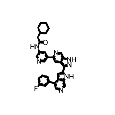 O=C(CC1CCCCC1)Nc1cncc(-c2cc3c(-c4cc5c(-c6cccc(F)c6)cncc5[nH]4)n[nH]c3cn2)c1